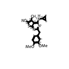 COc1ccc(Cc2nc(NC3CC3)c3c(C)c(C#N)sc3n2)cc1OC